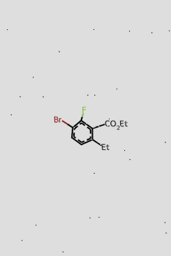 CCOC(=O)c1c(CC)ccc(Br)c1F